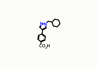 O=C(O)c1ccc(-c2cnn(CC3CCCCC3)c2)cc1